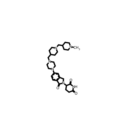 CN1CCC(CN2CCC(CN3CCN(c4ccc5c(c4)CN(C4CCC(=O)NC4=O)C5=O)CC3)CC2)CC1